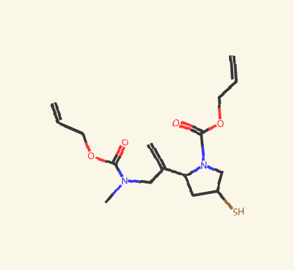 C=CCOC(=O)N(C)CC(=C)C1CC(S)CN1C(=O)OCC=C